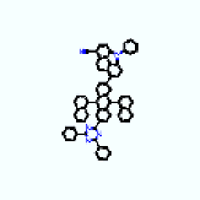 N#Cc1ccc2c3c1ccc1c(-c4ccc5c(-c6cccc7ccccc67)c6cc(-c7nc(-c8ccccc8)nc(-c8ccccc8)n7)ccc6c(-c6cccc7ccccc67)c5c4)ccc(c13)n2-c1ccccc1